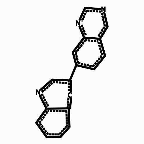 c1ccc2ncc(-c3ccc4cncnc4c3)cc2c1